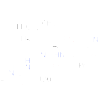 CCCC(NC(=O)[C@@H]1C2[C@H](CN1C(=O)[C@@H](NC(=O)NCC)C(C)(C)C)C2(C)C)C(=O)C(N)=O